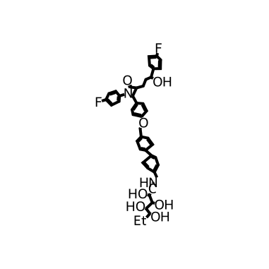 CCC(O)C(O)C(O)C(O)CNCc1ccc(-c2ccc(COc3ccc(C4C(CCC(O)c5ccc(F)cc5)C(=O)N4c4ccc(F)cc4)cc3)cc2)cc1